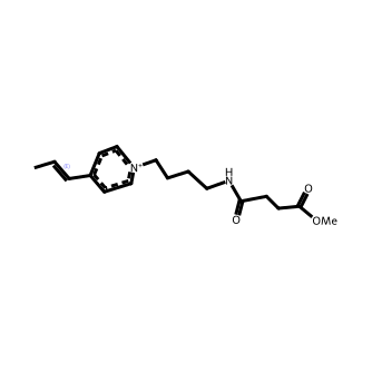 C/C=C/c1cc[n+](CCCCNC(=O)CCC(=O)OC)cc1